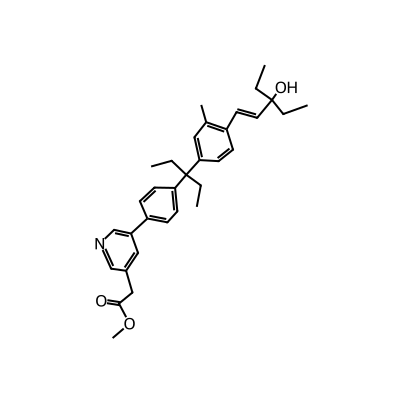 CCC(O)(C=Cc1ccc(C(CC)(CC)c2ccc(-c3cncc(CC(=O)OC)c3)cc2)cc1C)CC